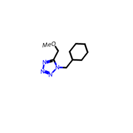 [CH2]OCc1nnnn1CC1CCCCC1